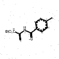 C=C(NC(=O)c1ccc(C)cc1)C(=O)OCC